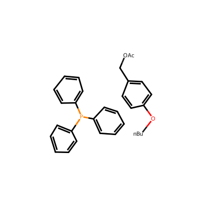 CCCCOc1ccc(COC(C)=O)cc1.c1ccc(P(c2ccccc2)c2ccccc2)cc1